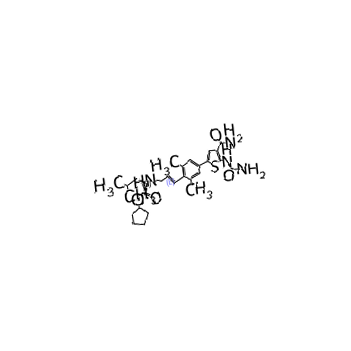 Cc1cc(-c2cc(C(N)=O)c(NC(N)=O)s2)cc(C)c1/C=C/CN[C@@H](CC(C)C)C(=O)OC1CCCC1